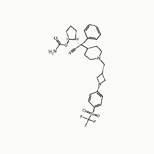 N#CC(c1ccccc1)(C1CCN(CC2CN(c3ccc(S(=O)(=O)C(F)(F)F)cc3)C2)CC1)[C@H]1CCC[C@@H]1OC(N)=O